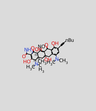 CCCCC#Cc1cc(N(C)C)c2c(c1O)C(=O)C1=C(N=O)[C@]3(O)C(=O)C(C(N)=O)=C(O)[C@@H](N(C)C)[C@]3(C)C[C@]1(O)C2